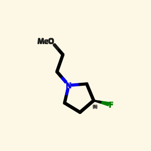 COCCN1CC[C@H](F)C1